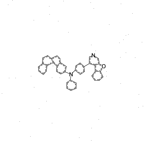 c1ccc(N(c2ccc(-c3cncc4oc5ccccc5c34)cc2)c2ccc3c(ccc4ccc5ccccc5c43)c2)cc1